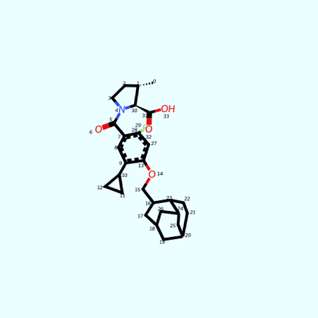 C[C@H]1CCN(C(=O)c2cc(C3CC3)c(OCC3CC4CC5CCC3C(C5)C4)cc2F)[C@@H]1C(=O)O